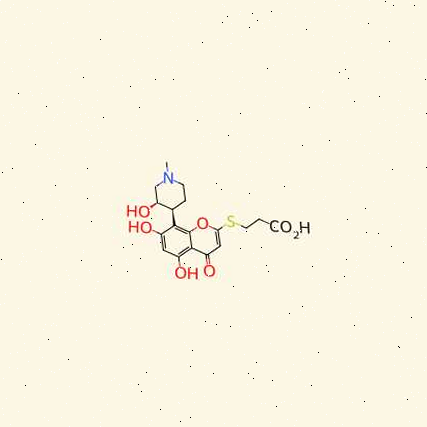 CN1CC[C@@H](c2c(O)cc(O)c3c(=O)cc(SCCC(=O)O)oc23)[C@@H](O)C1